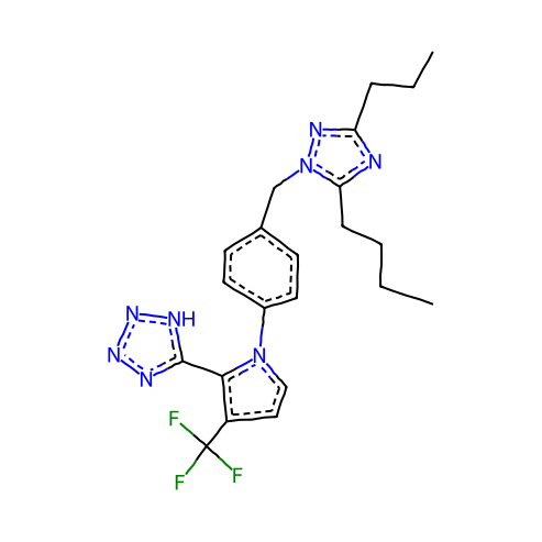 CCCCc1nc(CCC)nn1Cc1ccc(-n2ccc(C(F)(F)F)c2-c2nnn[nH]2)cc1